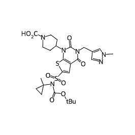 Cn1cc(Cn2c(=O)c3cc(S(=O)(=O)N(C(=O)OC(C)(C)C)C4(C)CC4)sc3n(C3CCN(C(=O)O)CC3)c2=O)cn1